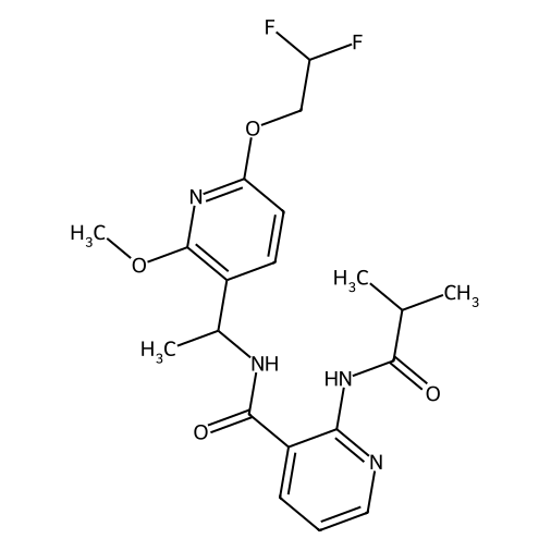 COc1nc(OCC(F)F)ccc1C(C)NC(=O)c1cccnc1NC(=O)C(C)C